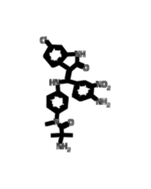 CN(C(=O)C(C)(C)N)c1ccc(N/C(=C2/C(=O)Nc3cc(Cl)ccc32)c2ccc(N)c([N+](=O)[O-])c2)cc1